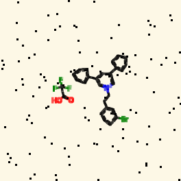 Brc1cccc(CC[n+]2cc(-c3ccccc3)cc(-c3ccccc3)c2)c1.O=C(O)C(F)(F)F